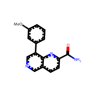 COc1cccc(-c2cncc3ccc(C(N)=O)nc23)c1